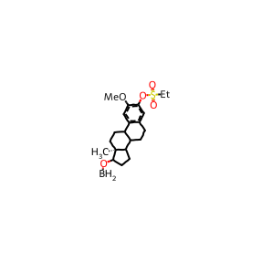 BOC1CCC2C3CCc4cc(OS(=O)(=O)CC)c(OC)cc4C3CC[C@]12C